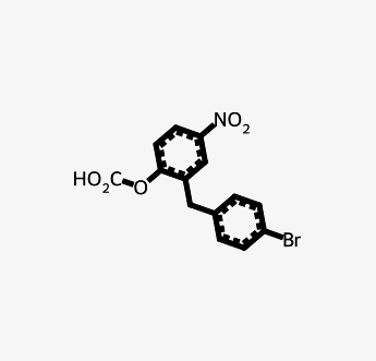 O=C(O)Oc1ccc([N+](=O)[O-])cc1Cc1ccc(Br)cc1